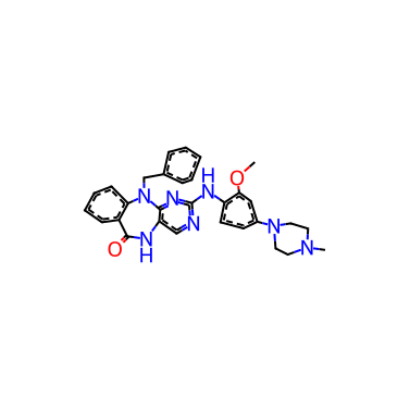 COc1cc(N2CCN(C)CC2)ccc1Nc1ncc2c(n1)N(Cc1ccccc1)c1ccccc1C(=O)N2